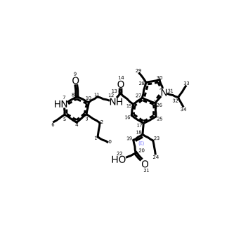 CCCc1cc(C)[nH]c(=O)c1CNC(=O)c1cc(/C(=C/C(=O)O)CC)cc2c1c(C)cn2C(C)C